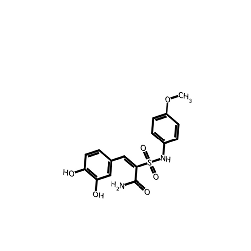 COc1ccc(NS(=O)(=O)C(=Cc2ccc(O)c(O)c2)C(N)=O)cc1